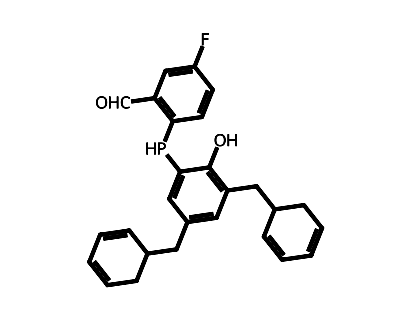 O=Cc1cc(F)ccc1Pc1cc(CC2C=CC=CC2)cc(CC2C=CC=CC2)c1O